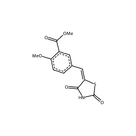 COC(=O)c1cc(C=C2SC(=O)NC2=O)ccc1OC